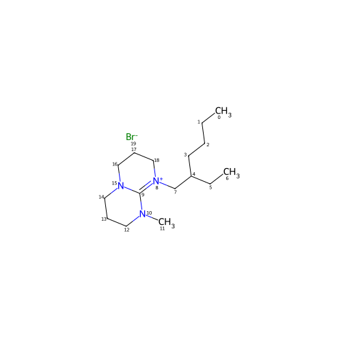 CCCCC(CC)C[N+]1=C2N(C)CCCN2CCC1.[Br-]